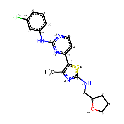 Cc1nc(NCC2CCCO2)sc1-c1ccnc(Nc2cccc(Cl)c2)n1